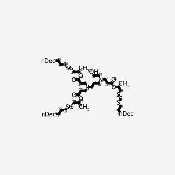 CCCCCCCCCCCCSSSCC(C)OC(=O)CCN(CCO)CCCN(CCC(=O)OC(C)CSSSCCCCCCCCCCCC)CCC(=O)OC(C)CSSSCCCCCCCCCCCC